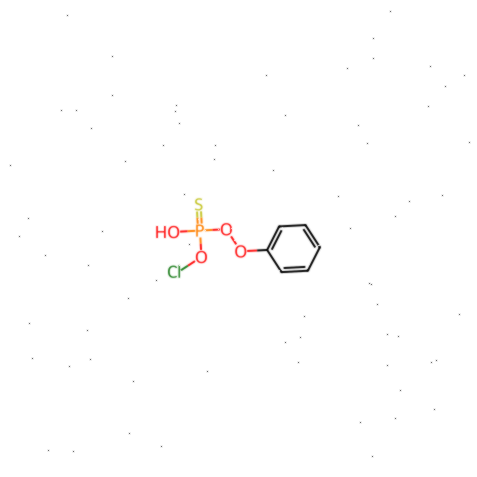 OP(=S)(OCl)OOc1ccccc1